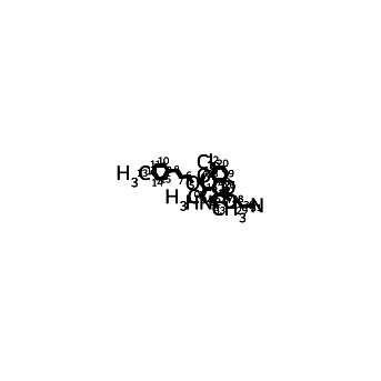 CC1=C(C(=O)OCC=Cc2ccc(C)cc2)C(c2cccc(Cl)c2)C(C(=O)OCCC#N)=C(C)N1